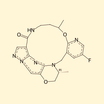 CC1CCNC(=O)c2cnn3cc4c(nc23)N(Cc2cc(F)cnc2O1)[C@H](C)CO4